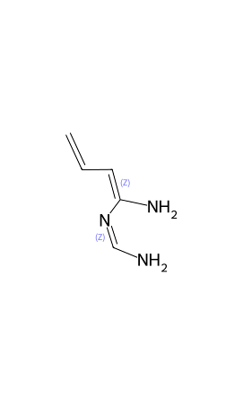 C=C/C=C(N)\N=C/N